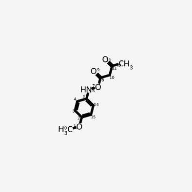 COc1ccc(NOC(=O)CC(C)=O)cc1